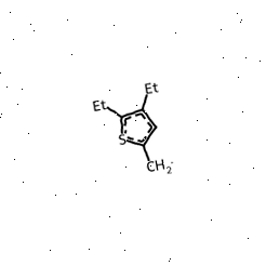 [CH2]c1cc(CC)c(CC)s1